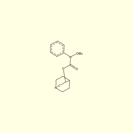 CC(C)CON(C(=O)OC1CN2CCC1CC2)c1ccccc1